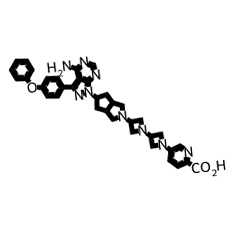 Nc1ncnc2c1c(-c1ccc(Oc3ccccc3)cc1)nn2C1CC2CN(C3CN(C4CN(c5ccc(C(=O)O)nc5)C4)C3)CC2C1